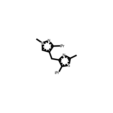 Cc1nc(Cc2cn(C)nc2C(C)C)c(C(C)C)s1